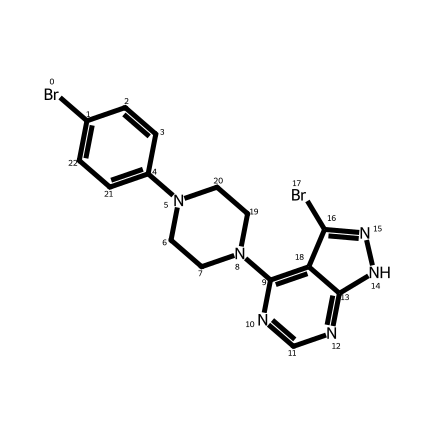 Brc1ccc(N2CCN(c3ncnc4[nH]nc(Br)c34)CC2)cc1